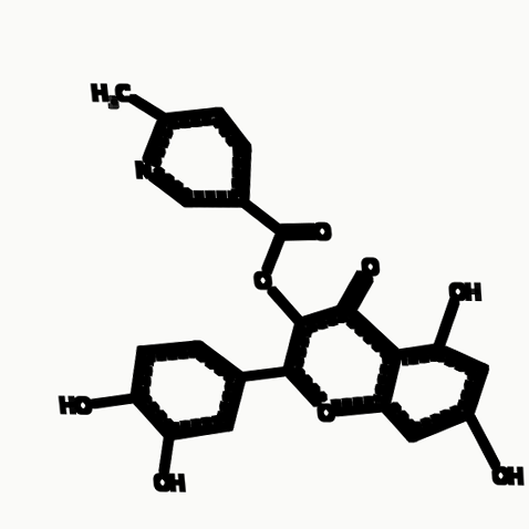 Cc1ccc(C(=O)Oc2c(-c3ccc(O)c(O)c3)oc3cc(O)cc(O)c3c2=O)cn1